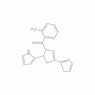 Cc1ccccc1C(=O)C1C=C(C2=CC=CC2)CC1c1ccc[nH]1